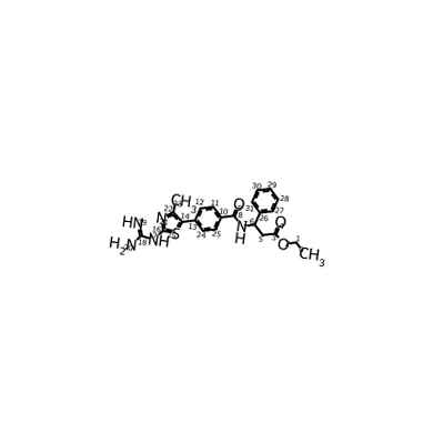 CCOC(=O)CC(NC(=O)c1ccc(-c2sc(NC(=N)N)nc2C)cc1)c1ccccc1